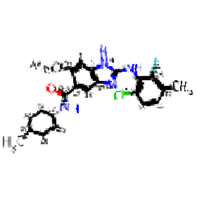 COc1cc2[nH]c(Nc3c(Cl)ccc(C)c3F)nc2cc1C(=O)N[C@H]1CC[C@H](C)CC1